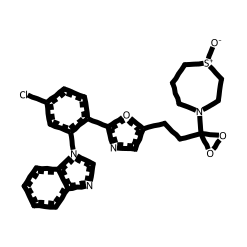 [O-][S+]1CCCN(C2(CCc3cnc(-c4ccc(Cl)cc4-n4cnc5ccccc54)o3)OO2)CC1